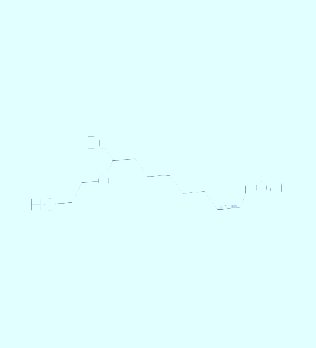 CCCCCCCC/C=C\CCCCCC(CC)OCCO